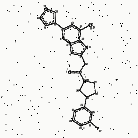 O=C(Cc1cn2cc(-c3ccoc3)cc(C(F)(F)F)c2n1)N1CCC(c2cccc(F)c2)C1